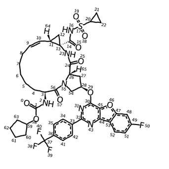 O=C(N[C@H]1CCCCC/C=C\[C@@H]2C[C@@]2(C(=O)NS(=O)(=O)C2CC2)NC(=O)[C@@H]2C[C@@H](Oc3nc(-c4ccc(C(F)(F)F)cc4)nc4c3oc3cc(F)ccc34)CN2C1=O)OC1CCCC1